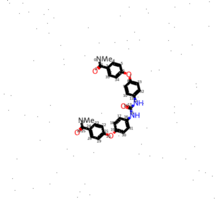 CNC(=O)c1ccc(Oc2ccc(NC(=O)Nc3ccc(Oc4ccc(C(=O)NC)cc4)cc3)cc2)cc1